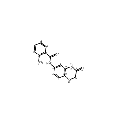 Nc1ccncc1C(=O)Nc1ccc2c(c1)NC(=O)CO2